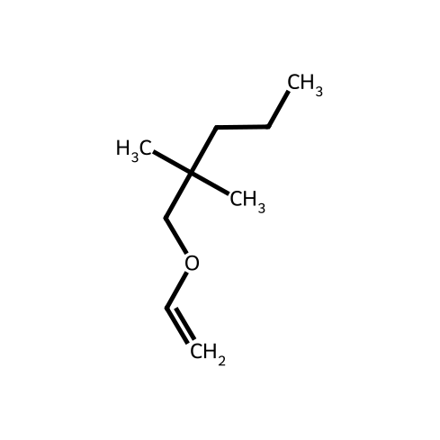 C=COCC(C)(C)CCC